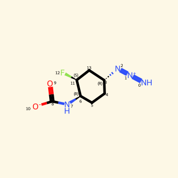 N=[N+]=N[C@@H]1CC[C@@H](NC(=O)[O-])[C@@H](F)C1